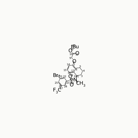 CN([C@@H]1CCCc2c(OCC(=O)OC(C)(C)C)cccc21)S(=O)(=O)c1cc(Br)cc(C(F)(F)F)c1